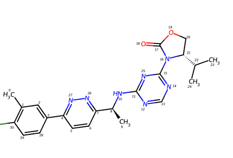 Cc1cc(-c2ccc([C@H](C)Nc3ncnc(N4C(=O)OC[C@@H]4C(C)C)n3)nn2)ccc1F